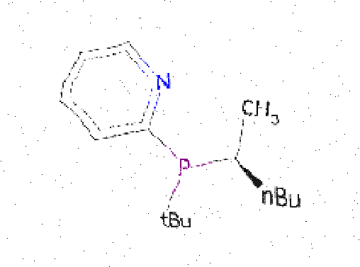 CCCC[C@H](C)P(c1ccccn1)C(C)(C)C